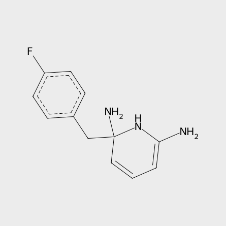 NC1=CC=CC(N)(Cc2ccc(F)cc2)N1